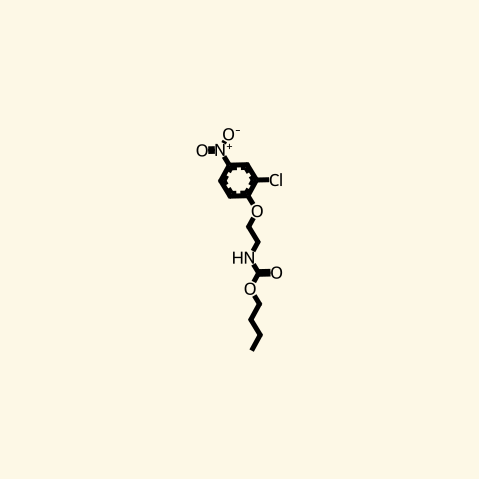 CCCCOC(=O)NCCOc1ccc([N+](=O)[O-])cc1Cl